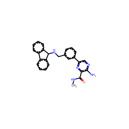 CNC(=O)c1nc(-c2cccc(CNC3c4ccccc4-c4ccccc43)c2)cnc1N